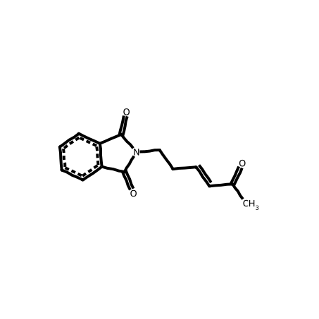 CC(=O)/C=C/CCN1C(=O)c2ccccc2C1=O